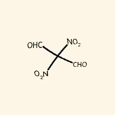 O=CC(C=O)([N+](=O)[O-])[N+](=O)[O-]